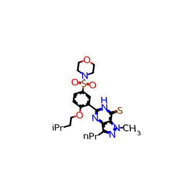 CCCc1nn(C)c2c(=S)[nH]c(-c3cc(S(=O)(=O)N4CCOCC4)ccc3OCCC(C)C)nc12